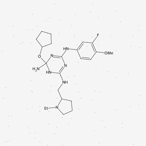 CCN1CCCC1CNC1=NC(Nc2ccc(OC)c(F)c2)=NC(N)(OC2CCCC2)N1